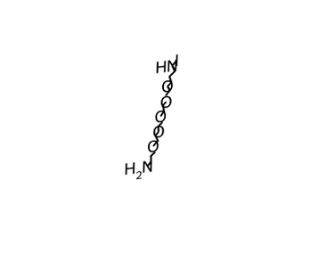 NCCCOCCOCCOCCOCCOCCCNI